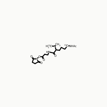 CN([13CH3])C(CCC[13CH2]N[13C]([13CH3])=O)C(=O)NCCC(=O)ON1C(=O)CCC1=O